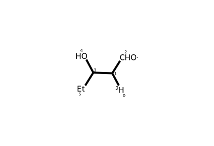 [2H]C([C]=O)C(O)CC